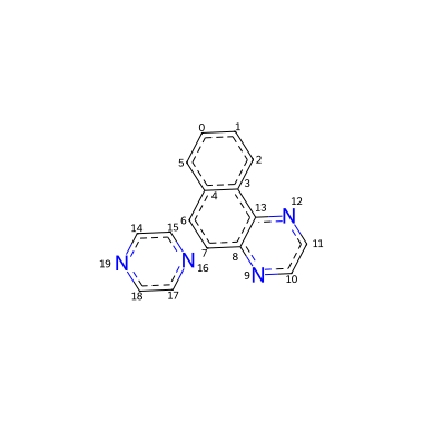 c1ccc2c(c1)ccc1nccnc12.c1cnccn1